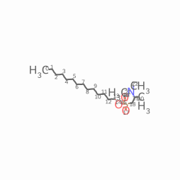 CCCCCCCCCCCCCCOS(=O)(=O)CC(C)N(C)C